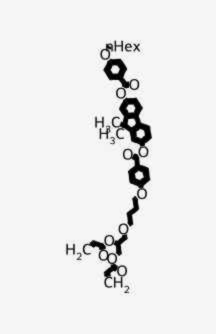 C=CC(=O)OCC(COCCCCOc1ccc(C(=O)Oc2ccc3c(c2)C(C)(C)c2cc(OC(=O)c4ccc(OCCCCCC)cc4)ccc2-3)cc1)OC(=O)C=C